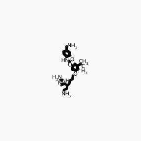 CC(C)c1cc(OCCCCC(CCN)c2cnc(N)[nH]2)cc(OC(=O)Nc2ccc(CN)cc2)c1